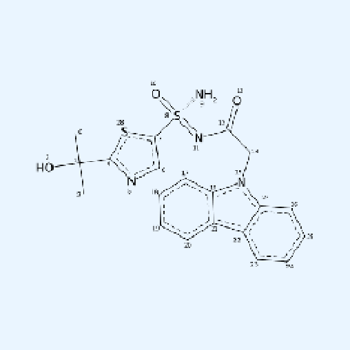 CC(C)(O)c1ncc([S@@](N)(=O)=NC(=O)Cn2c3ccccc3c3ccccc32)s1